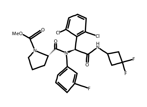 COC(=O)N1CCC[C@H]1C(=O)N(c1cccc(F)c1)[C@H](C(=O)NC1CC(F)(F)C1)c1c(Cl)cccc1Cl